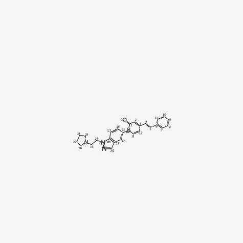 O=c1cc(/C=C/c2ccccc2)ccn1-c1ccc2c(cnn2CCN2CCCC2)c1